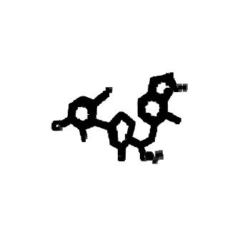 Cc1c(CC(C(=O)O)N2CCC(c3c(F)ccc(Cl)c3F)=CC2=O)ccc2cn[nH]c12